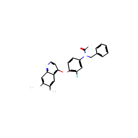 CCCC(=O)N(Cc1ccccc1)c1ccc(Oc2ccnc3cc(OC)c(OC)cc23)c(F)c1